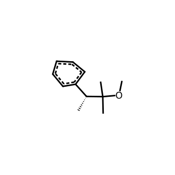 COC(C)(C)[C@H](C)c1ccccc1